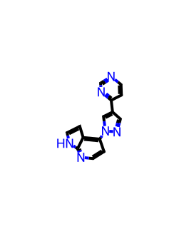 c1cc(-c2cnn(-c3ccnc4[nH]ccc34)c2)ncn1